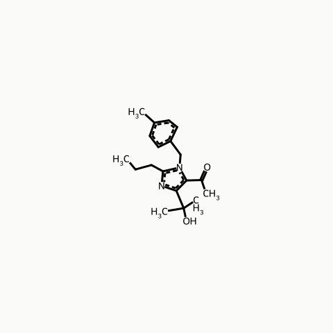 CCCc1nc(C(C)(C)O)c(C(C)=O)n1Cc1ccc(C)cc1